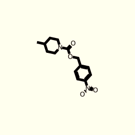 CC1CCN(C(=O)OCc2ccc([N+](=O)[O-])cc2)CC1